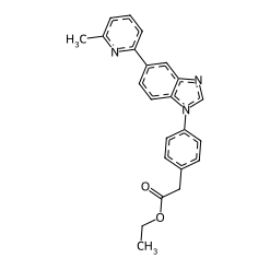 CCOC(=O)Cc1ccc(-n2cnc3cc(-c4cccc(C)n4)ccc32)cc1